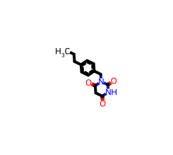 CCCc1ccc(CN2C(=O)CC(=O)NC2=O)cc1